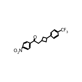 O=C(CC1CC(c2ccc(C(F)(F)F)cc2)C1)c1ccc([N+](=O)[O-])cc1